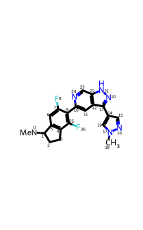 CNC1CCc2c1cc(F)c(-c1cc3c(-c4cnn(C)c4)n[nH]c3cn1)c2F